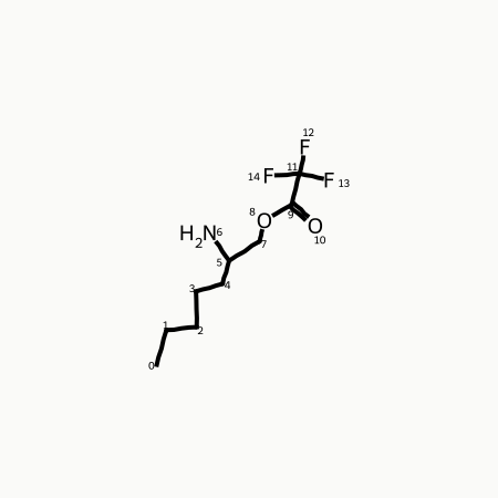 CCCCCC(N)COC(=O)C(F)(F)F